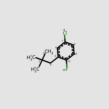 CC(C)(C)Cc1cc(Cl)ccc1F